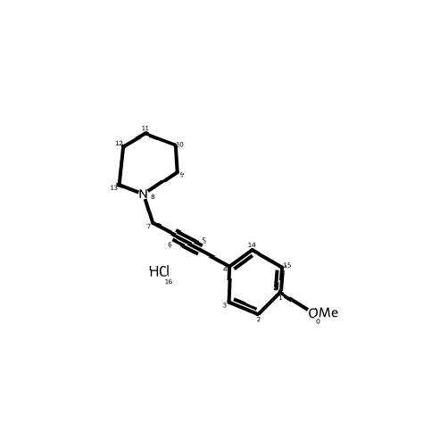 COc1ccc(C#CCN2CCCCC2)cc1.Cl